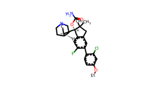 CCOc1ccc(-c2cc3c(cc2F)[C@@](OC(N)=O)([C@@H]2CN4CCC2CC4)C(C)(C)C3)c(Cl)c1